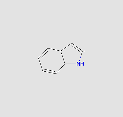 [C]1=CC2C=CC=CC2N1